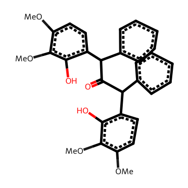 COc1ccc(C(C(=O)C(c2ccccc2)c2ccc(OC)c(OC)c2O)c2ccccc2)c(O)c1OC